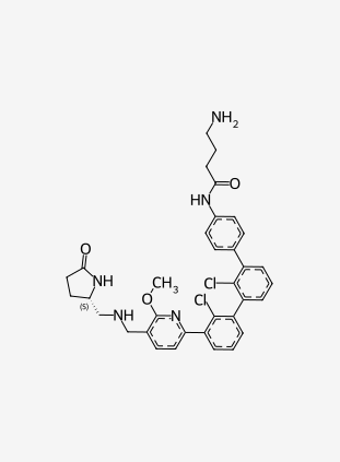 COc1nc(-c2cccc(-c3cccc(-c4ccc(NC(=O)CCCN)cc4)c3Cl)c2Cl)ccc1CNC[C@@H]1CCC(=O)N1